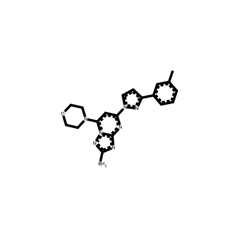 Bc1nc2nc(-n3ccc(-c4cccc(C)c4)n3)cc(N3CCOCC3)n2n1